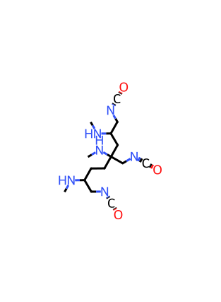 CNC(CCC(CN=C=O)(CC(CN=C=O)NC)NC)CN=C=O